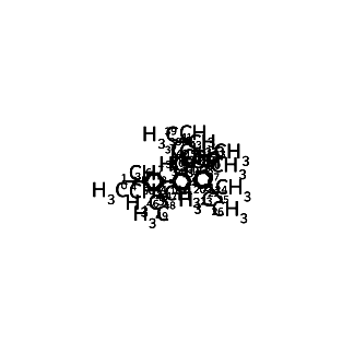 CCC(C)(C)c1ccc(-c2cccc(P(O)(O)(O)c3ccc(C(C)(C)CC)cc3C(C)(C)CC)c2CCCC(C)C(C)(C)C)c(C(C)(C)CC)c1